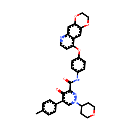 Cc1ccc(-c2cn(C3CCOCC3)nc(C(=O)Nc3ccc(Oc4ccnc5cc6c(cc45)OCCO6)cc3)c2=O)cc1